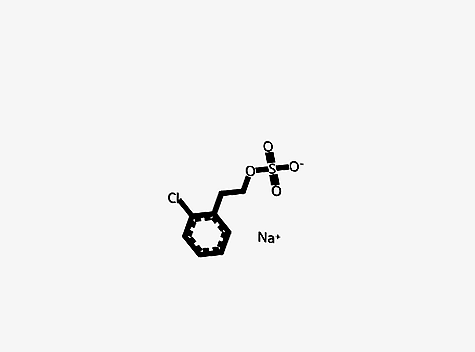 O=S(=O)([O-])OCCc1ccccc1Cl.[Na+]